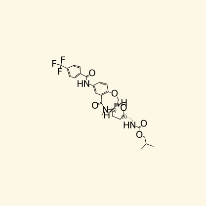 CC(C)COC(=O)NC[C@@H]1CC[C@H]2[C@H](COc3ccc(NC(=O)c4ccc(C(F)(F)F)cc4)cc3C(=O)N2C)O1